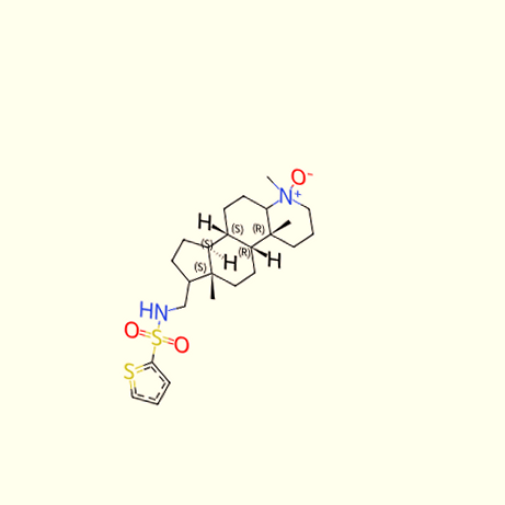 C[C@]12CCC[N+](C)([O-])C1CC[C@@H]1[C@H]2CC[C@]2(C)C(CNS(=O)(=O)c3cccs3)CC[C@@H]12